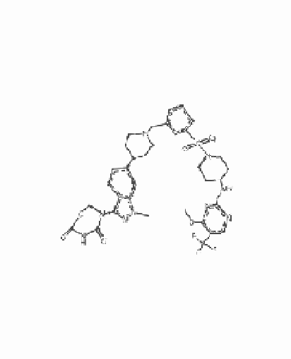 COc1nc(NC2CCN(S(=O)(=O)c3cccc(CN4CCC(c5ccc6c(N7CCC(=O)NC7=O)nn(C)c6c5)CC4)c3)CC2)ncc1C(F)(F)F